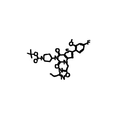 CCc1noc(Cn2c(=O)n(C3CCN(C(=O)OC(C)(C)C)CC3)c(=O)c3sc(-c4ccc(F)cc4OC)cc32)n1